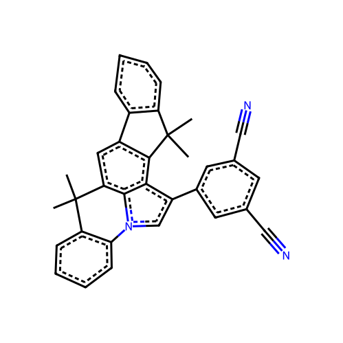 CC1(C)c2ccccc2-c2cc3c4c(c(-c5cc(C#N)cc(C#N)c5)cn4-c4ccccc4C3(C)C)c21